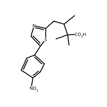 CC(Cc1ncc(-c2ccc([N+](=O)[O-])cc2)s1)C(C)(C)C(=O)O